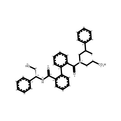 CC(CN(CCC(=O)O)C(=O)c1ccccc1-c1ccccc1C(=O)N[C@@H](CO)c1ccccc1)c1ccccc1